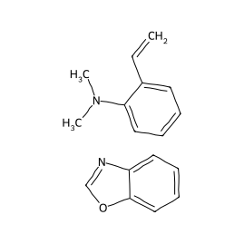 C=Cc1ccccc1N(C)C.c1ccc2ocnc2c1